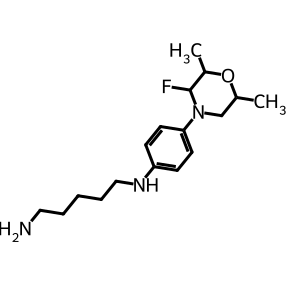 CC1CN(c2ccc(NCCCCCN)cc2)C(F)C(C)O1